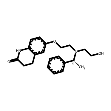 C[C@H](c1ccccc1)N(CCO)CCOc1ccc2c(c1)CCC(=O)N2